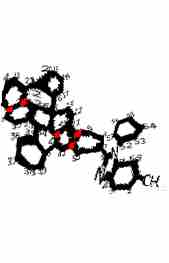 CC1C=Cc2nc(-c3ccc(-c4ccc5c(-c6ccccc6-c6ccccc6)c6ccccc6c(C6=CC=CCC6c6ccccc6)c5c4)cc3)n(C3=CC=CCC3)c2C1